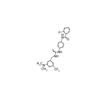 CN(C)c1cc(CNC(=S)Nc2ccc(NC(=O)c3ccccc3F)cc2)cc(C(F)(F)F)c1